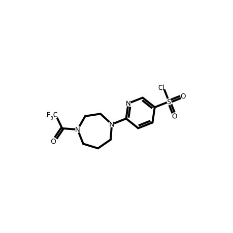 O=C(N1CCCN(c2ccc(S(=O)(=O)Cl)cn2)CC1)C(F)(F)F